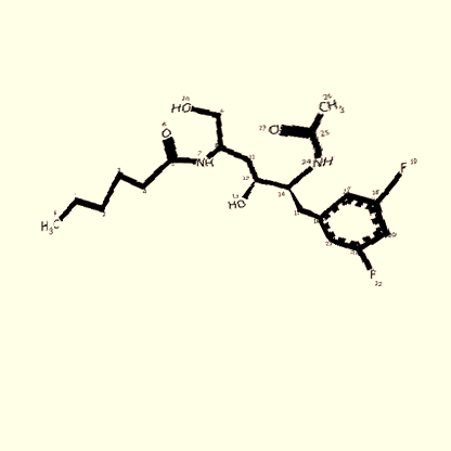 CCCCCC(=O)NC(CO)C[C@H](O)[C@H](Cc1cc(F)cc(F)c1)NC(C)=O